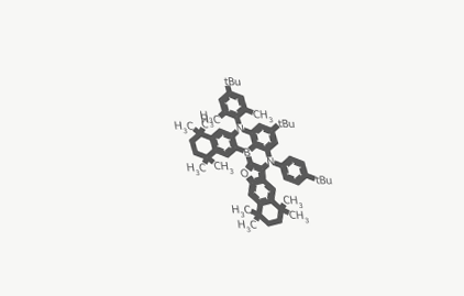 Cc1cc(C(C)(C)C)cc(C)c1N1c2cc3c(cc2B2c4oc5cc6c(cc5c4N(c4ccc(C(C)(C)C)cc4)c4cc(C(C)(C)C)cc1c42)C(C)(C)CCC6(C)C)C(C)(C)CCC3(C)C